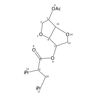 CC(=O)OC1COC2C(OC(=O)C(CC(C)C)C(C)C)COC12